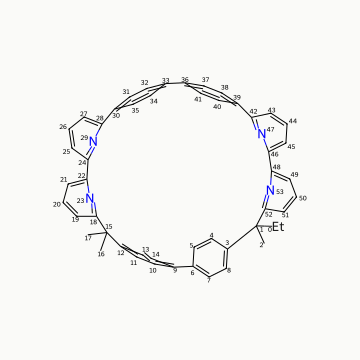 CCC1(C)c2ccc(cc2)-c2ccc(cc2)C(C)(C)c2cccc(n2)-c2cccc(n2)-c2ccc(cc2)-c2ccc(cc2)-c2cccc(n2)-c2cccc1n2